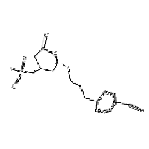 CS(=O)(=O)C[C@H]1CC(=O)O[C@H](CCCCc2ccc(C#N)cc2)C1